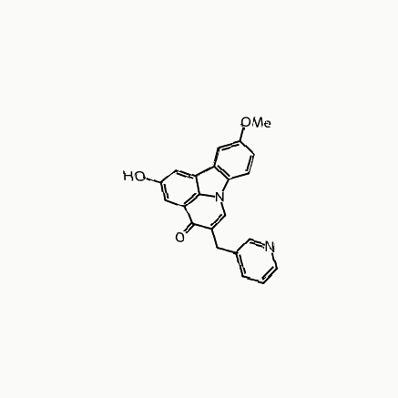 COc1ccc2c(c1)c1cc(O)cc3c(=O)c(Cc4cccnc4)cn2c31